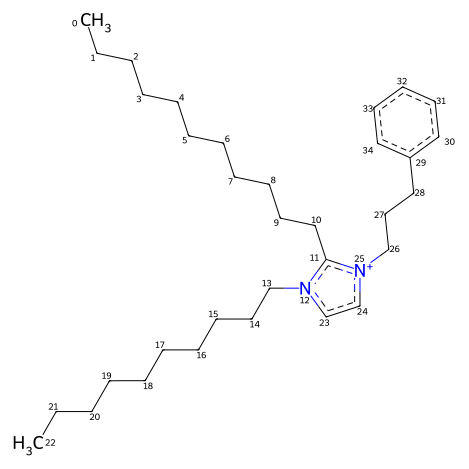 CCCCCCCCCCCc1n(CCCCCCCCCC)cc[n+]1CCCc1ccccc1